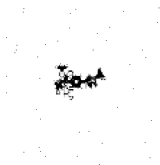 CC(C)OC(=O)[C@@](N)(CC(C)(C)C)c1ccc(-c2cn(C3CC3)nn2)cc1F